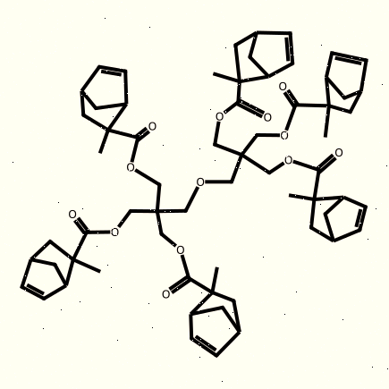 CC1(C(=O)OCC(COCC(COC(=O)C2(C)CC3C=CC2C3)(COC(=O)C2(C)CC3C=CC2C3)COC(=O)C2(C)CC3C=CC2C3)(COC(=O)C2(C)CC3C=CC2C3)COC(=O)C2(C)CC3C=CC2C3)CC2C=CC1C2